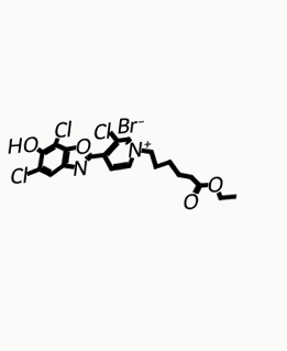 CCOC(=O)CCCCC[n+]1ccc(-c2nc3cc(Cl)c(O)c(Cl)c3o2)c(Cl)c1.[Br-]